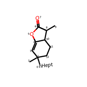 CCCCCCCC1(C)C=C2OC(=O)C(C)C2CC1